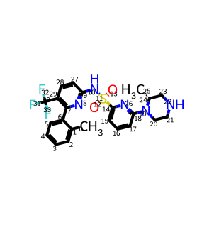 Cc1ccccc1-c1nc(NS(=O)(=O)c2cccc(N3CCNC[C@H]3C)n2)ccc1C(F)(F)F